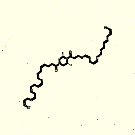 CC/C=C\CC=CCC=CC/C=C\C/C=C\CCCC(=O)N1[C@H](C)CN(C(=O)CC/C=C\C/C=C\C/C=C\C/C=C\C/C=C\C/C=C\CC)C[C@@H]1C